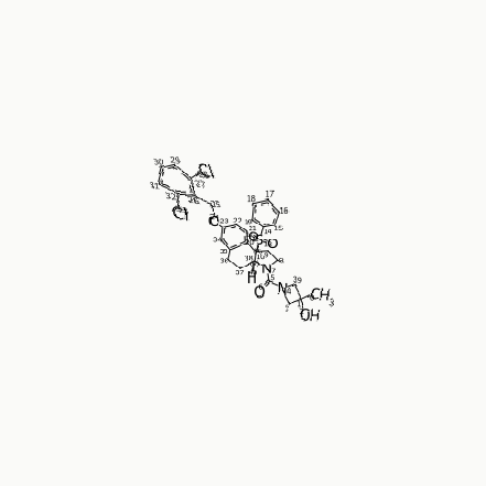 CC1(O)CN(C(=O)N2CC[C@@]3(S(=O)(=O)c4ccccc4)c4ccc(OCc5c(Cl)cccc5Cl)cc4CC[C@@H]23)C1